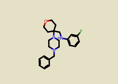 Fc1cccc(NCC2(N3CCN(Cc4ccccc4)CC3)CCOCC2)c1